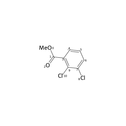 COC(=O)c1[c]ccc(Cl)c1Cl